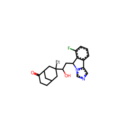 CCC1(C(O)CC2c3c(F)cccc3-c3cncn32)CC2CCC(=O)C(C2)C1